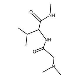 CNC(=O)C(NC(=O)CN(C)C)C(C)C